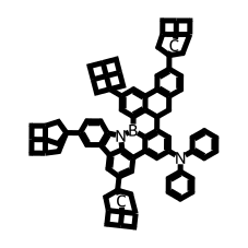 c1ccc(N(c2ccccc2)c2cc3c4c(c2)C2Cc5ccc(C67CC8CC9CC(C6)C98C7)cc5-c5cc(C67CC8CC9CC(C6)C987)cc(c52)B4n2c4ccc(C56CC7CC8CC(C5)C87C6)cc4c4cc(C56CC7CC8CC(C5)C87C6)cc-3c42)cc1